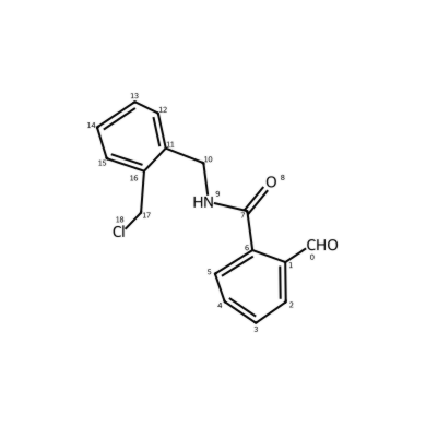 O=Cc1ccccc1C(=O)NCc1ccccc1CCl